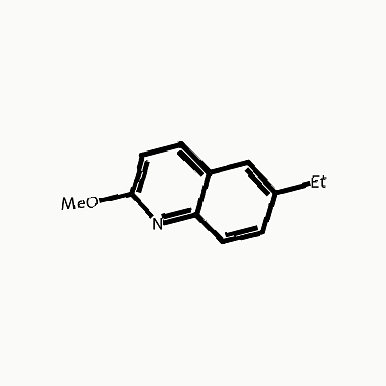 CCc1ccc2nc(OC)ccc2c1